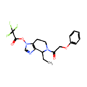 CCC1c2ncn(OC(=O)C(F)(F)F)c2CCN1C(=O)COc1ccccc1